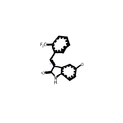 O=C1Nc2ccc(Cl)cc2/C1=C\c1ccccc1C(F)(F)F